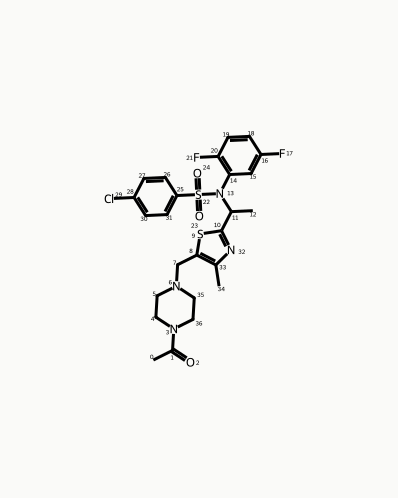 CC(=O)N1CCN(Cc2sc(C(C)N(c3cc(F)ccc3F)S(=O)(=O)c3ccc(Cl)cc3)nc2C)CC1